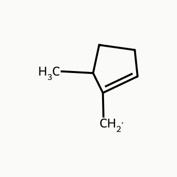 [CH2]C1=CCCC1C